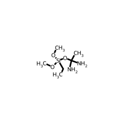 CC[Si](OC)(OC)OC(C)(N)N